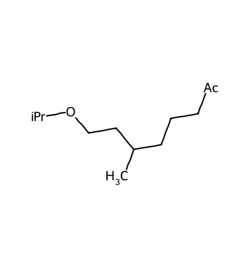 CC(=O)CCCC(C)CCOC(C)C